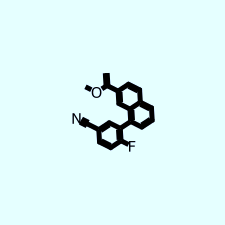 C=C(OC)c1ccc2cccc(-c3cc(C#N)ccc3F)c2c1